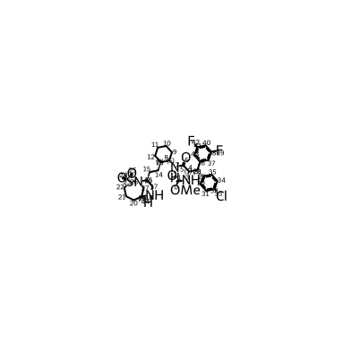 COC(=O)N[C@H](C(=O)N[C@H]1CCCC[C@@H]1CC[C@H]1CN[C@@H]2CCCS(=O)(=O)N1C2)[C@@H](c1ccc(Cl)cc1)c1cc(F)cc(F)c1